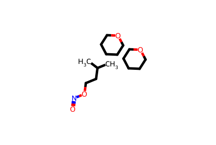 C1CCOCC1.C1CCOCC1.CC(C)CCON=O